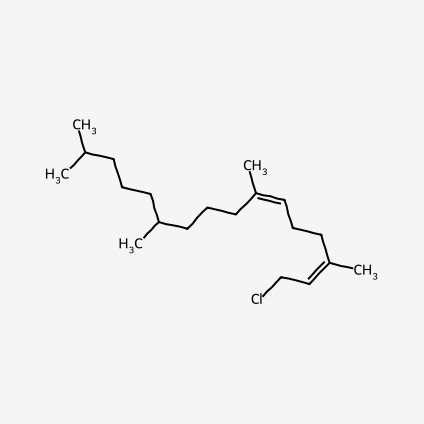 CC(=CCCl)CCC=C(C)CCCC(C)CCCC(C)C